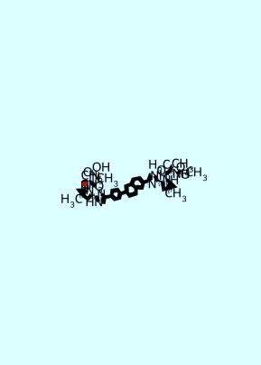 COC(=O)N[C@H](C(=O)N1[C@H]2C[C@@]2(C)C[C@H]1c1nc(-c2ccc3cc(-c4ccc(-c5c[nH]c([C@@H]6C[C@]7(C)C[C@@H]7N6C(=O)[C@H](C(C)C)N(C)C(=O)O)n5)cc4)ccc3c2)c[nH]1)C(C)C